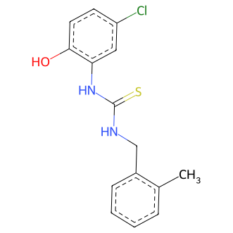 Cc1ccccc1CNC(=S)Nc1cc(Cl)ccc1O